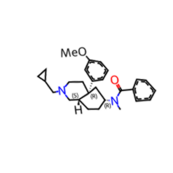 COc1cccc([C@@]23CCN(CC4CC4)C[C@H]2CC[C@@H](N(C)C(=O)c2ccccc2)C3)c1